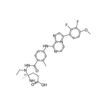 CCN(NC(=O)c1ccc(Nc2nccn3c(-c4ccc(OC)c(F)c4F)cnc23)cc1C)[C@](C)(N)CCC(=O)O